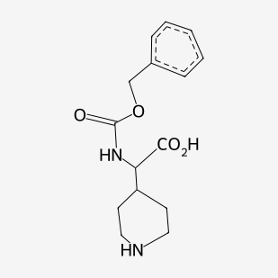 O=C(NC(C(=O)O)C1CCNCC1)OCc1ccccc1